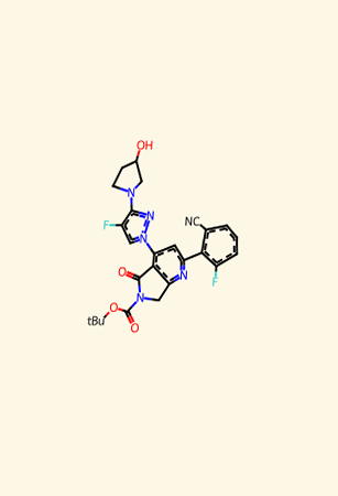 CC(C)(C)OC(=O)N1Cc2nc(-c3c(F)cccc3C#N)cc(-n3cc(F)c(N4CCC(O)C4)n3)c2C1=O